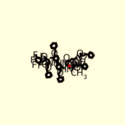 C[C@H](NC(=O)[C@H](Cc1cc(-c2ccc(OCc3ccccc3)c(C[C@H](NC(=O)OCc3ccccc3)C(=O)Oc3c(F)c(F)c(F)c(F)c3F)c2)ccc1OCc1ccccc1)NC(=O)[C@@H](N)C[C@@H](O)CNC(=O)OCc1ccccc1)C(=O)OCc1ccccc1